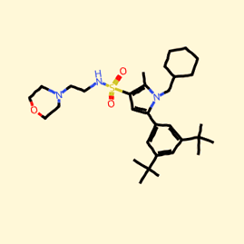 Cc1c(S(=O)(=O)NCCN2CCOCC2)cc(-c2cc(C(C)(C)C)cc(C(C)(C)C)c2)n1CC1CCCCC1